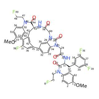 COc1ccc(N(CCF)C(=O)[C@H](Cc2cc(F)cc(F)c2)NC(=O)Cn2c(=O)n3c4cc(ccc42)-c2cc(F)cc(c2)C[C@@H](C(=O)N(CCF)c2ccc(OC)cc2)NC(=O)C3)cc1